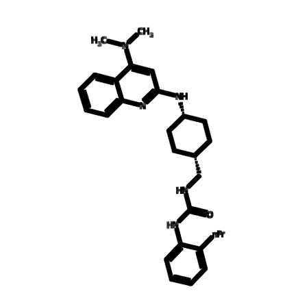 CCCc1ccccc1NC(=O)NC[C@H]1CC[C@@H](Nc2cc(N(C)C)c3ccccc3n2)CC1